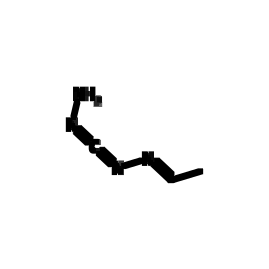 CC=NN=C=NN